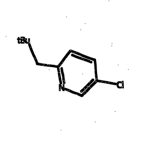 CC(C)(C)Cc1ccc(Cl)cn1